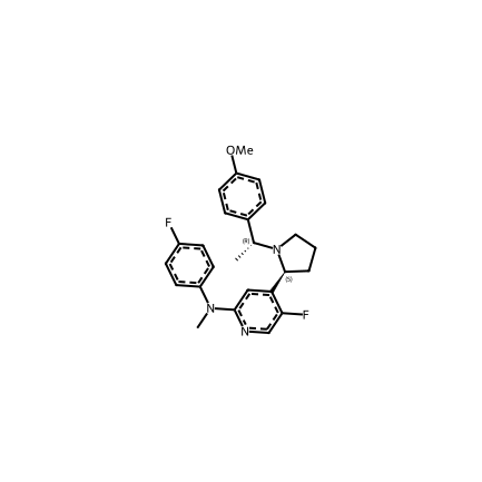 COc1ccc([C@@H](C)N2CCC[C@H]2c2cc(N(C)c3ccc(F)cc3)ncc2F)cc1